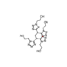 OCCn1nnc(C(CC(c2nnnn2CCO)c2nnnn2CCO)c2nnnn2CCO)n1